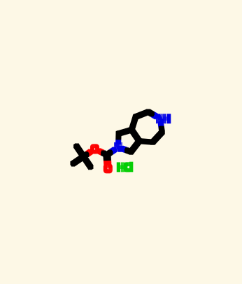 CC(C)(C)OC(=O)N1CC2CCNCCC2C1.Cl